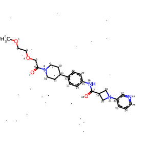 COCCOCC(=O)N1CCC(c2ccc(NC(=O)C3CN(c4cccnc4)C3)cc2)CC1